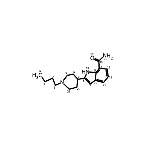 CCCCN1CCC(c2cc3cccc(C(N)=O)c3[nH]2)CC1